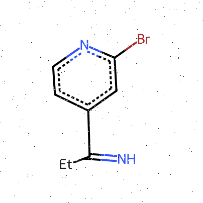 CCC(=N)c1ccnc(Br)c1